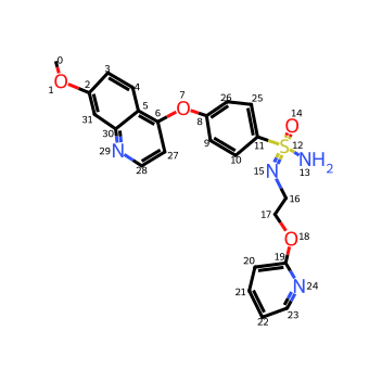 COc1ccc2c(Oc3ccc(S(N)(=O)=NCCOc4ccccn4)cc3)ccnc2c1